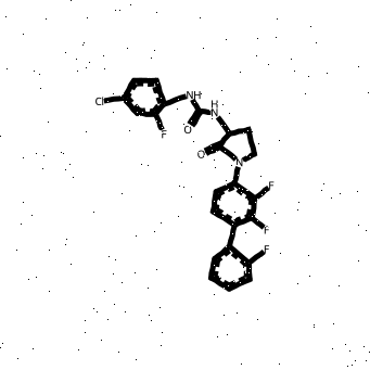 O=C(Nc1ccc(Cl)cc1F)NC1CCN(c2ccc(-c3ccccc3F)c(F)c2F)C1=O